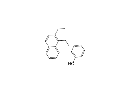 CCc1ccc2ccccc2c1CC.Oc1ccccc1